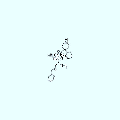 CS(=O)(=O)[N+]1(NC(=O)C(N)COCc2ccccc2)CC2(CCNCC2)c2ccccc21.Cl